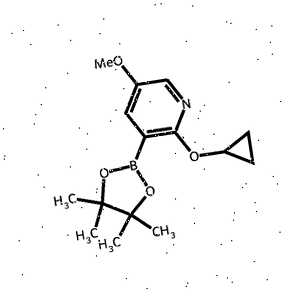 COc1cnc(OC2CC2)c(B2OC(C)(C)C(C)(C)O2)c1